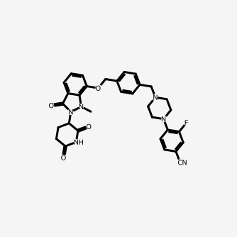 Cn1c2c(OCc3ccc(CN4CCN(c5ccc(C#N)cc5F)CC4)cc3)cccc2c(=O)n1C1CCC(=O)NC1=O